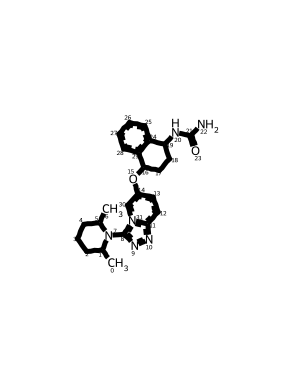 CC1CCCC(C)N1c1nnc2ccc(OC3CCC(NC(N)=O)c4ccccc43)cn12